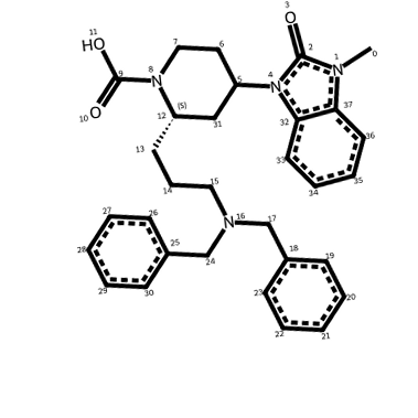 Cn1c(=O)n(C2CCN(C(=O)O)[C@@H](CCCN(Cc3ccccc3)Cc3ccccc3)C2)c2ccccc21